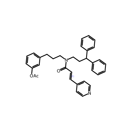 CC(=O)Oc1cccc(CCCN(CCC(c2ccccc2)c2ccccc2)C(=O)/C=C/c2ccncc2)c1